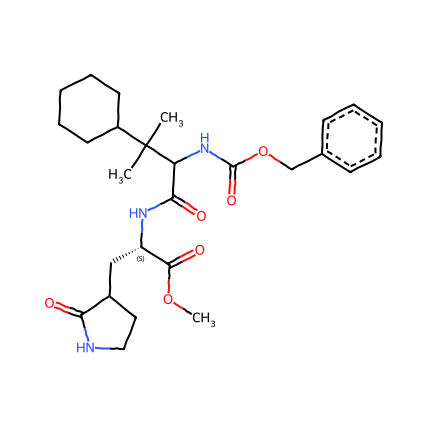 COC(=O)[C@H](CC1CCNC1=O)NC(=O)C(NC(=O)OCc1ccccc1)C(C)(C)C1CCCCC1